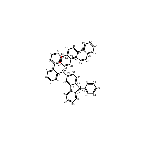 c1ccc(-c2ccccc2N(c2ccc3ccc4c5ccccc5ccc4c3c2)c2ccc3c(c2)c2ccccc2n3-c2ccccc2)cc1